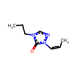 C/C=C\n1ncn(CCC)c1=O